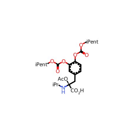 CCCC(C)OC(=O)Oc1ccc(C[C@](NC(C)C)(OC(C)=O)C(=O)O)cc1OC(=O)OC(C)CCC